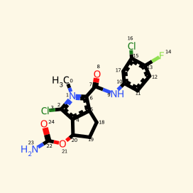 Cn1c(Cl)c2c(c1C(=O)Nc1ccc(F)c(Cl)c1)CCC2OC(N)=O